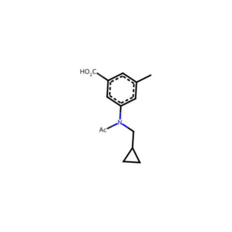 CC(=O)N(CC1CC1)c1cc(C)cc(C(=O)O)c1